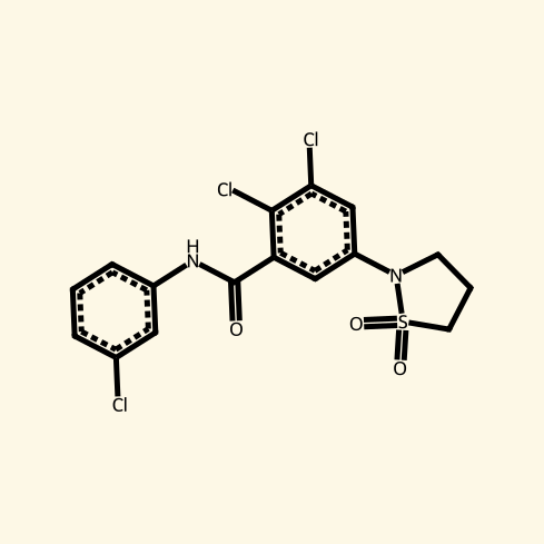 O=C(Nc1cccc(Cl)c1)c1cc(N2CCCS2(=O)=O)cc(Cl)c1Cl